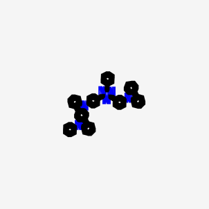 c1ccc(-c2nc(-c3ccc(-n4c5ccccc5c5cc6c(cc54)c4ccccc4n6-c4ccccc4)cc3)nc(-c3cccc(-n4c5ccccc5c5ccccc54)c3)n2)cc1